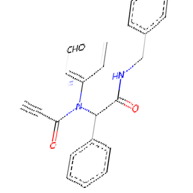 C#CC(=O)N(/C(C=C)=C/C=O)C(C(=O)NCc1ccccc1)c1ccccc1